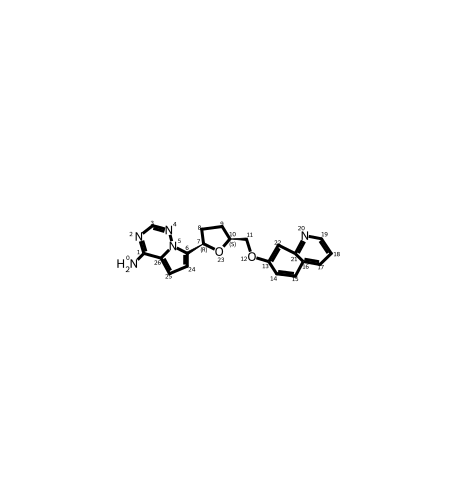 Nc1ncnn2c([C@H]3CC[C@@H](COc4ccc5cccnc5c4)O3)ccc12